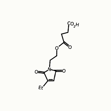 CCC1=CC(=O)N(CCOC(=O)CCC(=O)O)C1=O